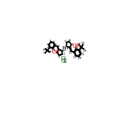 CC(C)(C)c1cccc(C=C2CCC[C]2=[Zr+2]=[C]2CCCC2=Cc2cccc(C(C)(C)C)c2O)c1O.[Cl-].[Cl-]